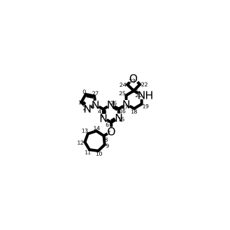 c1cnn(-c2nc(OC3CCCCCC3)nc(N3CCNC4(COC4)C3)n2)c1